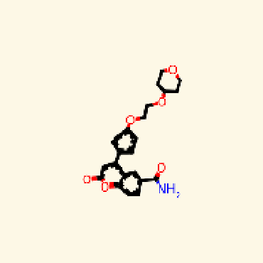 NC(=O)c1ccc2oc(=O)cc(-c3ccc(OCCOC4CCOCC4)cc3)c2c1